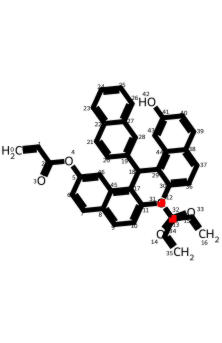 C=CC(=O)Oc1ccc2ccc(OC(=O)C=C)c(C(c3ccc4ccccc4c3)c3c(OC(=O)C=C)ccc4ccc(O)cc34)c2c1